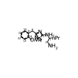 CCCC(CN)Nc1nc(Cc2ccccc2OC)ns1